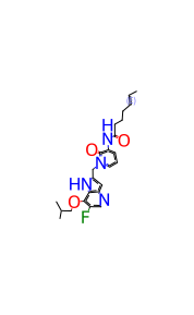 C/C=C/CCCC(=O)Nc1cccn(Cc2cc3ncc(F)c(OCC(C)C)c3[nH]2)c1=O